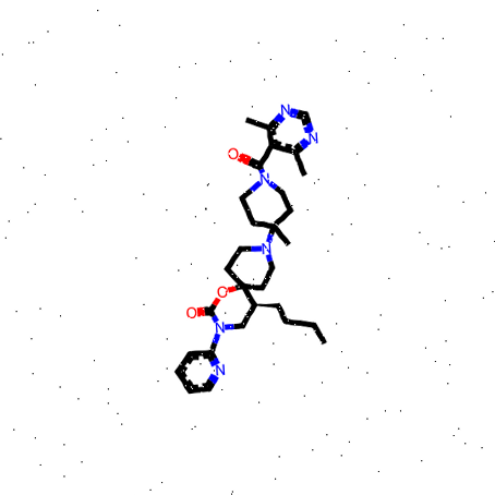 CCCC[C@H]1CN(c2ccccn2)C(=O)OC12CCN(C1(C)CCN(C(=O)c3c(C)ncnc3C)CC1)CC2